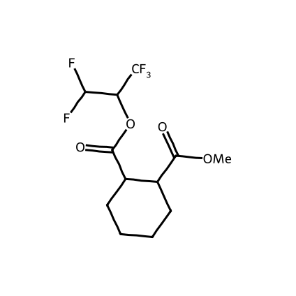 COC(=O)C1CCCCC1C(=O)OC(C(F)F)C(F)(F)F